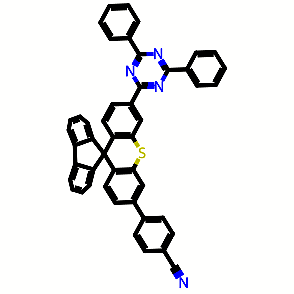 N#Cc1ccc(-c2ccc3c(c2)Sc2cc(-c4nc(-c5ccccc5)nc(-c5ccccc5)n4)ccc2C32c3ccccc3-c3ccccc32)cc1